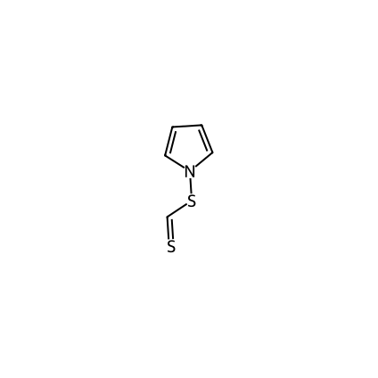 S=CSn1cccc1